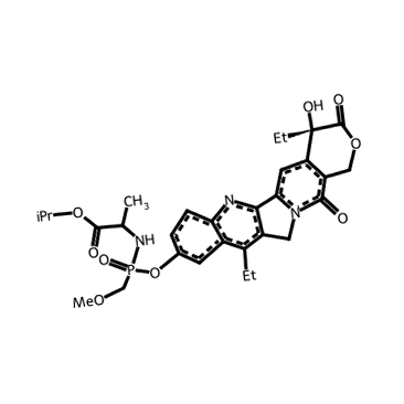 CCc1c2c(nc3ccc(OP(=O)(COC)NC(C)C(=O)OC(C)C)cc13)-c1cc3c(c(=O)n1C2)COC(=O)[C@]3(O)CC